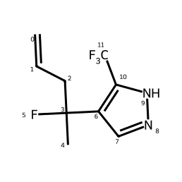 C=CCC(C)(F)c1cn[nH]c1C(F)(F)F